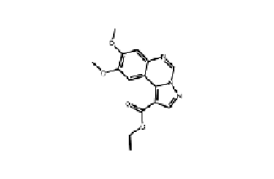 CCOC(=O)c1cnn2cnc3cc(OC)c(OC)cc3c12